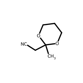 CC1(CC#N)OCCCO1